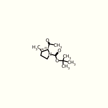 CC(=O)[C@@H]1[C@H](C)CCN1C(=O)OC(C)(C)C